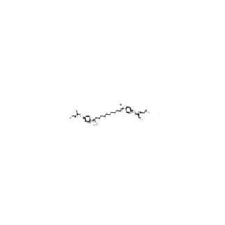 CCCCC(CC)CNc1cc[n+](C(Br)CCCCCCCCCCC(Br)[n+]2ccc(NCC(CC)CCCC)cc2C)c(C)c1